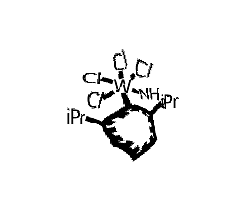 CC(C)c1cccc(C(C)C)[c]1[W]([NH2])([Cl])([Cl])([Cl])[Cl]